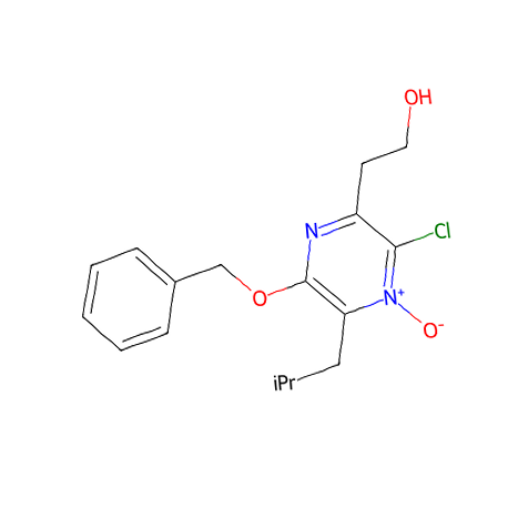 CC(C)Cc1c(OCc2ccccc2)nc(CCO)c(Cl)[n+]1[O-]